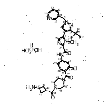 Cl.Cl.Cl.Cn1c(-c2cn(Cc3cccnc3)nc2C(F)(F)F)cnc1C(=O)Nc1ccc(C(=O)N2CCN(C(=O)[C@H]3C[C@H](N)C3)CC2)c(Cl)c1